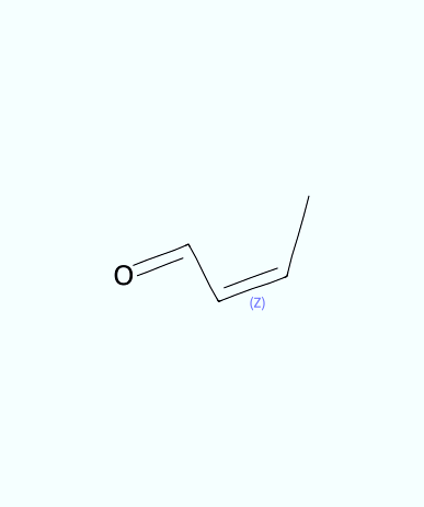 C/C=C\C=O